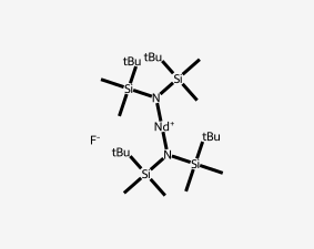 CC(C)(C)[Si](C)(C)[N]([Nd+][N]([Si](C)(C)C(C)(C)C)[Si](C)(C)C(C)(C)C)[Si](C)(C)C(C)(C)C.[F-]